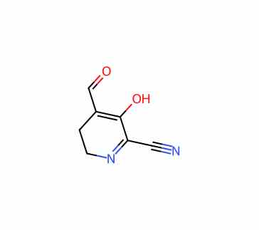 N#CC1=NCCC(C=O)=C1O